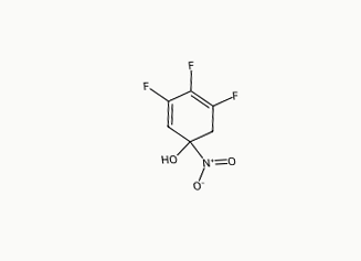 O=[N+]([O-])C1(O)C=C(F)C(F)=C(F)C1